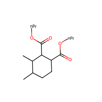 CCCOC(=O)C1CCC(C)C(C)C1C(=O)OCCC